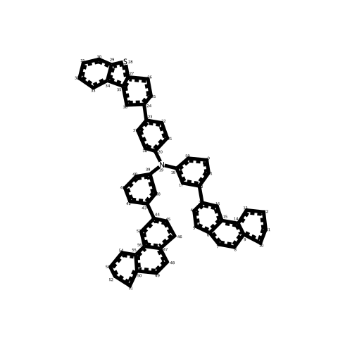 c1cc(-c2ccc3ccc4ccccc4c3c2)cc(N(c2ccc(-c3ccc4sc5ccccc5c4c3)cc2)c2cccc(-c3ccc4ccc5ccccc5c4c3)c2)c1